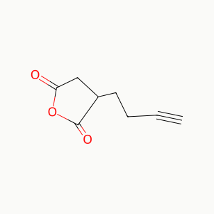 C#CCCC1CC(=O)OC1=O